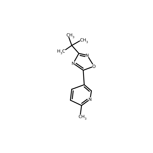 Cc1ccc(-c2nc(C(C)(C)C)no2)cn1